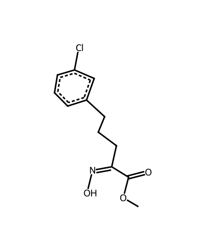 COC(=O)C(CCCc1cccc(Cl)c1)=NO